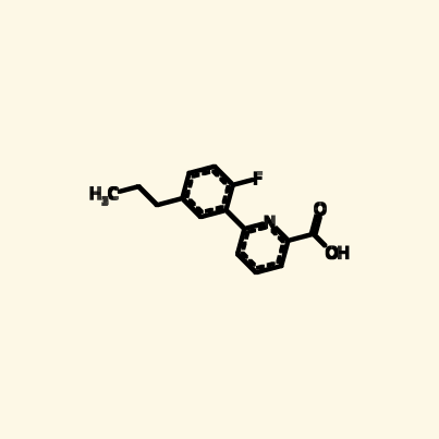 CCCc1ccc(F)c(-c2cccc(C(=O)O)n2)c1